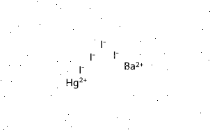 [Ba+2].[Hg+2].[I-].[I-].[I-].[I-]